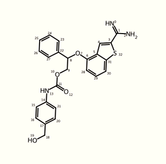 N=C(N)c1cc2c(OC(COC(=O)Nc3ccc(CO)cc3)c3ccccc3)cccc2s1